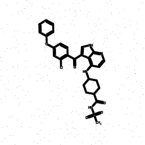 CS(=O)(=O)NC(=O)C1CCC(Nc2ccnc3[nH]cc(C(=O)c4ccc(Oc5ccccc5)cc4Cl)c23)CC1